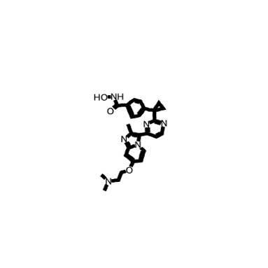 Cc1nc2cc(OCCN(C)C)ccn2c1-c1ccnc(C2(c3ccc(C(=O)NO)cc3)CC2)n1